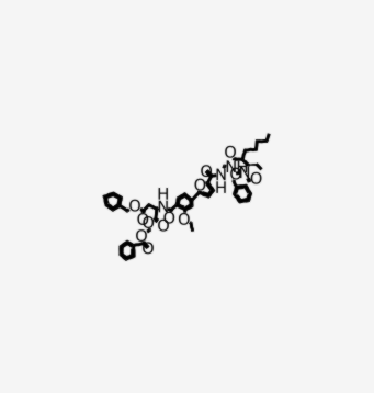 CCCCCC(C(=O)NCNC(=O)c1ccc(-c2ccc(C(=O)NC(CC(=O)OCc3ccccc3)C(=O)OCOC(=O)c3ccccc3)c(OCC)c2)o1)[C@@H](CC)N(C=O)OCc1ccccc1